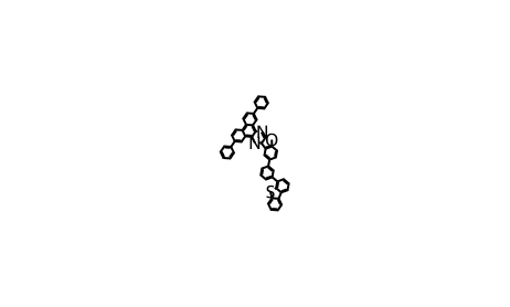 c1ccc(-c2ccc3c4ccc(-c5ccccc5)cc4c4nc5c(nc4c3c2)oc2ccc(-c3cccc(-c4cccc6c4sc4ccccc46)c3)cc25)cc1